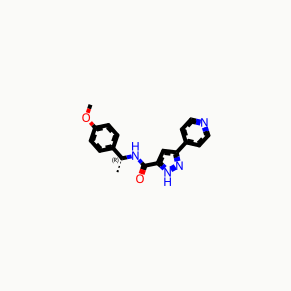 COc1ccc([C@@H](C)NC(=O)c2cc(-c3ccncc3)n[nH]2)cc1